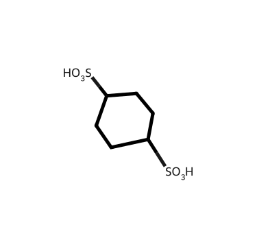 O=S(=O)(O)C1CCC(S(=O)(=O)O)CC1